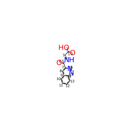 O=C(O)CNC(=O)c1cc2ccccc2nn1